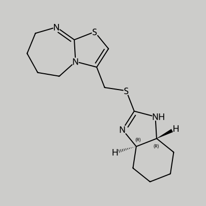 C1=C(CSC2=N[C@@H]3CCCC[C@H]3N2)N2CCCCN=C2S1